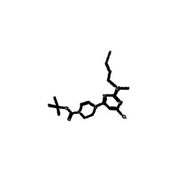 CCCCN(C)c1nc(Cl)cc(N2CCN(C(=O)OC(C)(C)C)CC2)n1